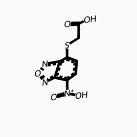 O=C(O)CSc1ccc([N+](=O)O)c2nonc12